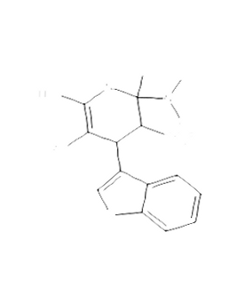 CCOC(=O)C1C(c2csc3ccccc23)C(C(C)=O)=C(C)NC1(C)N(C)C